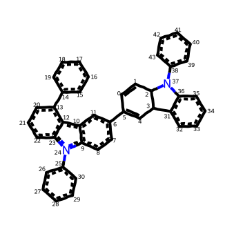 C1=CC2C(C=C1c1ccc3c(c1)c1c(-c4ccccc4)cccc1n3-c1ccccc1)c1ccccc1N2c1ccccc1